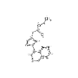 CCOC(=O)Cc1csc(-c2cccc3ccncc23)n1